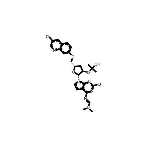 CN(C)/C=N/c1nc(Cl)nc2c1ccn2[C@@H]1O[C@H](COc2ccc3cc(Cl)cnc3c2)C[C@H]1OC(C)(C)O